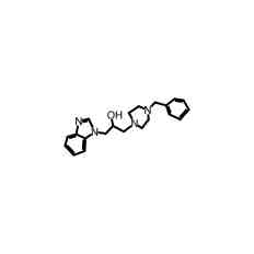 OC(CN1CCN(Cc2ccccc2)CC1)Cn1cnc2ccccc21